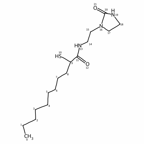 CCCCCCCCCC(S)C(=O)NCCN1CCNC1=O